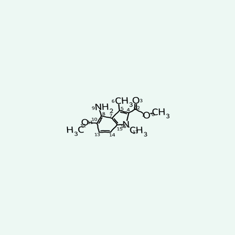 COC(=O)c1c(C)c2c(N)c(OC)ccc2n1C